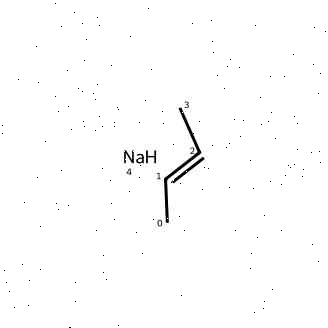 CC=CC.[NaH]